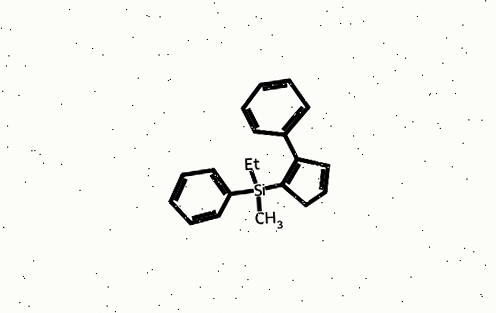 CC[Si](C)(C1=C(c2ccccc2)C=CC1)c1ccccc1